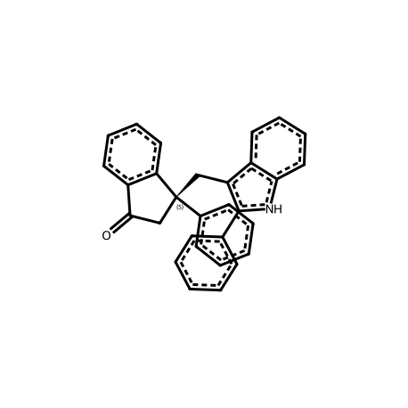 O=C1C[C@@](Cc2c(-c3ccccc3)[nH]c3ccccc23)(c2ccccc2)c2ccccc21